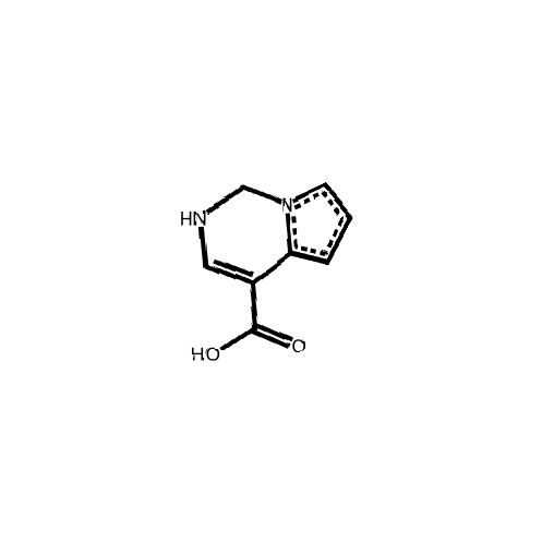 O=C(O)C1=CNCn2cccc21